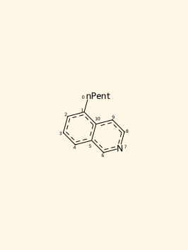 CCCCCc1cccc2cnccc12